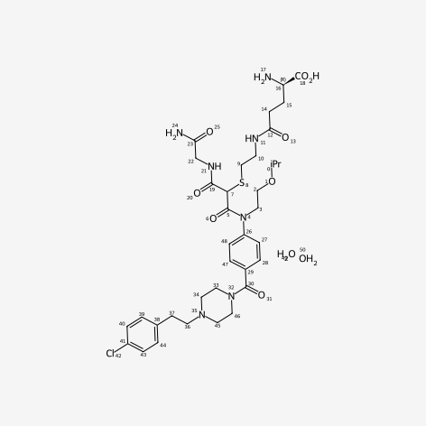 CC(C)OCCN(C(=O)C(SCCNC(=O)CC[C@@H](N)C(=O)O)C(=O)NCC(N)=O)c1ccc(C(=O)N2CCN(CCc3ccc(Cl)cc3)CC2)cc1.O.O